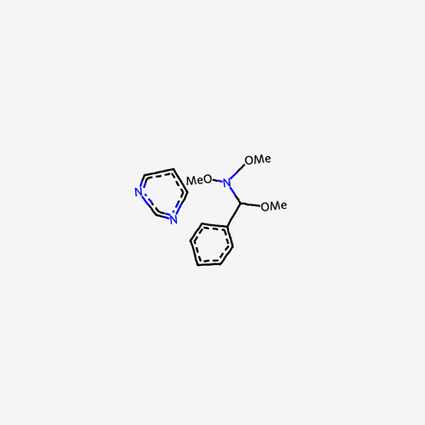 COC(c1ccccc1)N(OC)OC.c1cncnc1